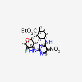 CCOC(=O)[C@]1(C)CC[C@@H](Nc2nc(N[C@H]3CCOC[C@H]3F)ncc2[N+](=O)[O-])CC1